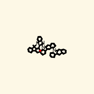 CC1(C)c2ccccc2-c2cccc(-c3nc4ccccc4nc3-n3c4ccccc4c4cc5c(-n6c7ccccc7c7cc8ccccc8cc76)cccc5cc43)c21